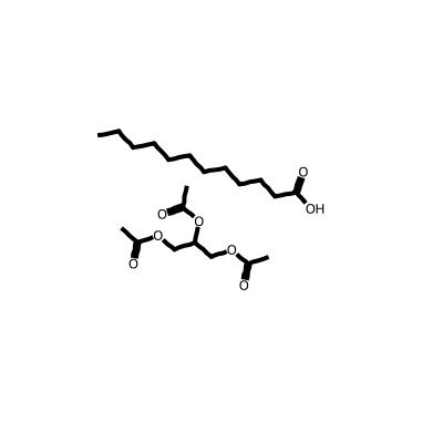 CC(=O)OCC(COC(C)=O)OC(C)=O.CCCCCCCCCCCC(=O)O